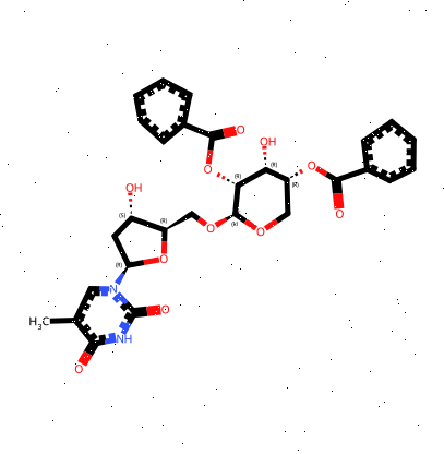 Cc1cn([C@H]2C[C@H](O)[C@@H](CO[C@@H]3OC[C@@H](OC(=O)c4ccccc4)[C@@H](O)[C@H]3OC(=O)c3ccccc3)O2)c(=O)[nH]c1=O